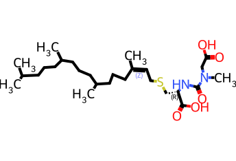 C/C(=C/CSC[C@H](NC(=O)N(C)CC(=O)O)C(=O)O)CCCC(C)CCCC(C)CCCC(C)C